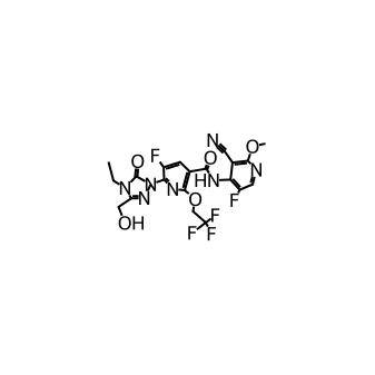 CCn1c(CO)nn(-c2nc(OCC(F)(F)F)c(C(=O)Nc3c(F)cnc(OC)c3C#N)cc2F)c1=O